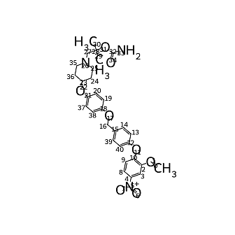 COc1cc([N+](=O)[O-])ccc1Oc1ccc(COc2ccc(OC3CCN(CC(C)(C)OC(N)=O)CC3)cc2)cc1